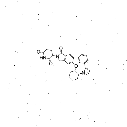 O=C1CCC(N2Cc3cc(O[C@H]4CCCC[C@@H]4N4CC[C@H]4c4ccccc4)ccc3C2=O)C(=O)N1